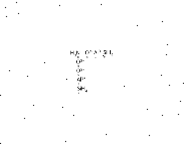 N.[Al+3].[Al+3].[O-2].[O-2].[O-2].[SiH4].[SiH4]